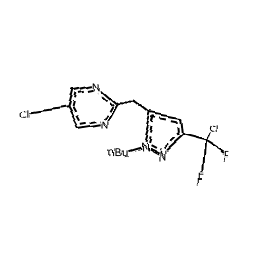 CCCCn1nc(C(F)(F)Cl)cc1Cc1ncc(Cl)cn1